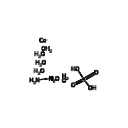 O.O.O.O.O.O.O=S(=O)(O)O.[Co].[NH2][Ni]